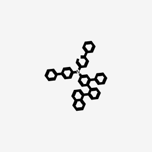 C=C(/C=C\C(=C/C)N(c1ccc(-c2ccccc2)cc1)c1ccc(-c2ccccc2-c2cccc3ccccc23)c(-c2ccccc2)c1)c1ccccc1